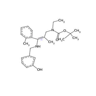 CCN(C/C(C)=C(/NCc1cccc(O)c1)c1ccccc1C)C(=O)OC(C)(C)C